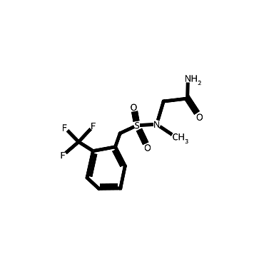 CN(CC(N)=O)S(=O)(=O)Cc1ccccc1C(F)(F)F